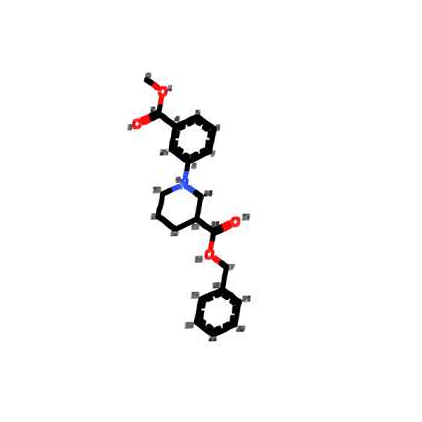 COC(=O)c1cccc(N2CCCC(C(=O)OCc3ccccc3)C2)c1